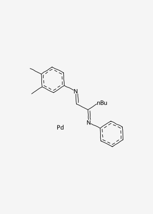 CCCCC(/C=N/c1ccc(C)c(C)c1)=N\c1ccccc1.[Pd]